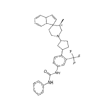 C[C@H]1CN(C2CCC(c3ccc(NC(=O)Nc4ccccc4)cc3C(F)(F)F)C2)CCC12C=CC1C=CC=CC12